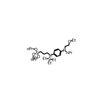 CCCO[Si](CCCN(c1ccc(N(CCC)CCOCC)cc1)[Si](CC)(CC)CC)(OCCC)OCCC